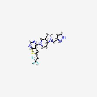 FC(F)(F)Cc1cc2c(N3CCC4C(CCN4Cc4cc[nH]n4)C3)ncnc2s1